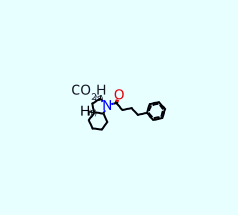 O=C(O)[C@@H]1C[C@H]2CCCCC2N1C(=O)CCCc1ccccc1